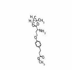 COC(=O)CCc1ccc(OCCC(N)C(=O)OC(C)(C)C)cc1